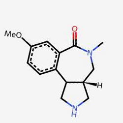 COc1ccc2c(c1)C(=O)N(C)C[C@@H]1CNCC21